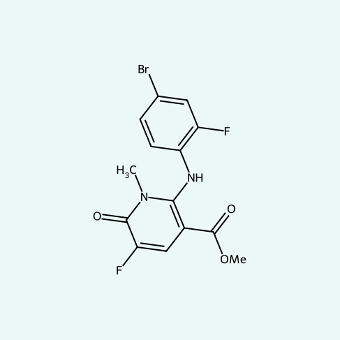 COC(=O)c1cc(F)c(=O)n(C)c1Nc1ccc(Br)cc1F